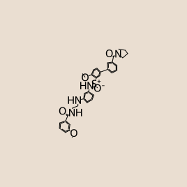 COc1cccc(C(=O)NCCNc2cccc(N[S+]([O-])c3cc(-c4cccc(C(=O)N5CCCC5)c4)ccc3OC)c2)c1